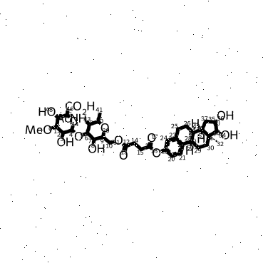 COC1C(O)C(OC2C(O)C(COC(=O)CCC(=O)Oc3ccc4c(c3)CC[C@@H]3[C@@H]4CC[C@]4(C)[C@@H](O)[C@H](O)C[C@@H]34)OC(C)C2NC(C)=O)OC(C(=O)O)C1O